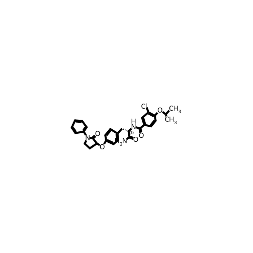 CC(C)Oc1ccc(C(=O)N[C@@H](Cc2ccc(OC3CCN(c4ccccc4)C3=O)cc2)C(N)=O)cc1Cl